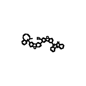 CCc1cc2oc3ccc(-n4c5ccccc5n5c6ccccc6nc45)cc3c2cc1-c1ccc2oc3ccc(N4c5ccccc5C/C=C\C=C/C4C)cc3c2c1